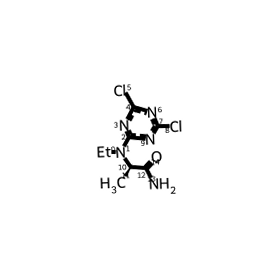 CCN(c1nc(Cl)nc(Cl)n1)[C@H](C)C(N)=O